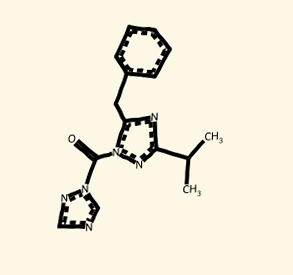 CC(C)c1nc(Cc2ccccc2)n(C(=O)n2cncn2)n1